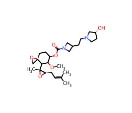 CO[C@H]1C([C@@]2(C)O[C@@H]2CC=C(C)C)[C@]2(CC[C@H]1OC(=O)N1CC(CCN3CC[C@@H](O)C3)C1)CO2